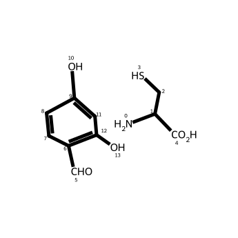 NC(CS)C(=O)O.O=Cc1ccc(O)cc1O